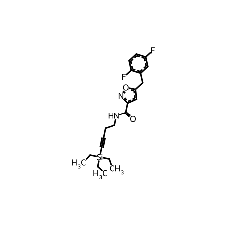 CC[Si](C#CCCNC(=O)c1cc(Cc2cc(F)ccc2F)on1)(CC)CC